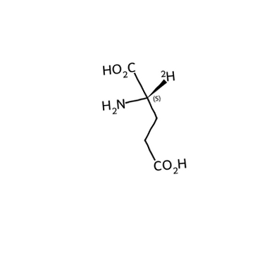 [2H][C@](N)(CCC(=O)O)C(=O)O